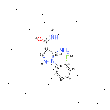 CNC(=O)c1cnn(-c2ccccc2F)c1N